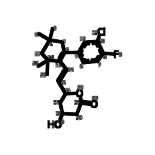 CC1(C)CC(c2ccc(F)c(Cl)c2)=C(C=CC2CC(O)CC(=O)O2)C(C)(C)C1